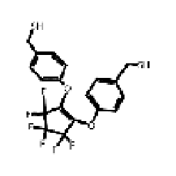 FC1(F)C(Oc2ccc(CS)cc2)=C(Oc2ccc(CS)cc2)C(F)(F)C1(F)F